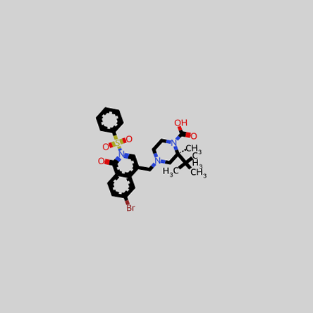 CC(C)(C)[C@@]1(C)CN(Cc2cn(S(=O)(=O)c3ccccc3)c(=O)c3ccc(Br)cc23)CCN1C(=O)O